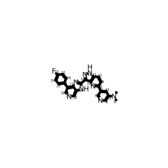 CN(C)c1cncc(-c2ccc3[nH]nc(-c4nc5c(-c6ccc(F)cc6)cncc5[nH]4)c3n2)c1